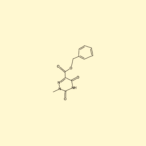 Cn1nc(C(=O)OCc2ccccc2)c(=O)[nH]c1=O